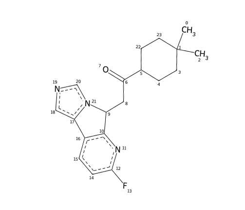 CC1(C)CCC(C(=O)CC2c3nc(F)ccc3-c3cncn32)CC1